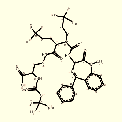 CN1C(=O)C(NC(=O)[C@H](CCC(F)(F)F)[C@H](CCC(F)(F)F)C(=O)NSCC(NC(=O)OC(C)(C)C)C(=O)O)N=C(c2ccccc2)c2ccccc21